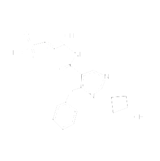 C[C@@H](/C=C/S(C)(=O)=O)NC(=O)c1cnc([C@H]2C[C@@H](C)C2)nc1Oc1ccccc1